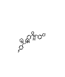 O=C(NCc1cccc(Cl)c1)c1ccc2cn(CC(c3ccc(F)cc3)N3CCCC3)nc2c1